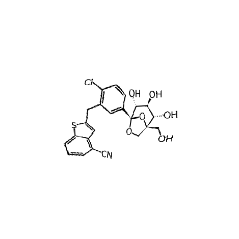 N#Cc1cccc2sc(Cc3cc([C@]45OC[C@](CO)(O4)[C@@H](O)[C@H](O)[C@H]5O)ccc3Cl)cc12